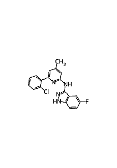 Cc1cc(Nc2n[nH]c3ccc(F)cc23)nc(-c2ccccc2Cl)c1